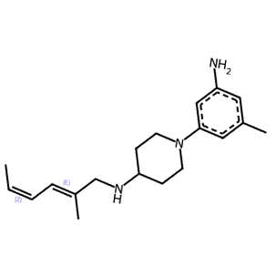 C/C=C\C=C(/C)CNC1CCN(c2cc(C)cc(N)c2)CC1